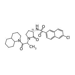 CC(C(=O)N1CCCC2CCCCC21)N1CC[C@H](NS(=O)(=O)c2ccc3cc(Cl)ccc3c2)C1=O